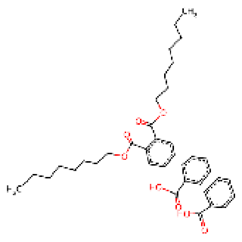 CCCCCCCCOC(=O)c1ccccc1C(=O)OCCCCCCCC.O=C(O)c1ccccc1.O=C(O)c1ccccc1